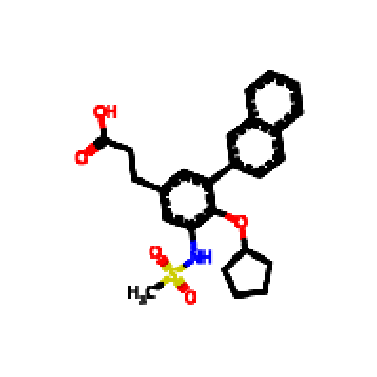 CS(=O)(=O)Nc1cc(CCC(=O)O)cc(-c2ccc3ccccc3c2)c1OC1CCCC1